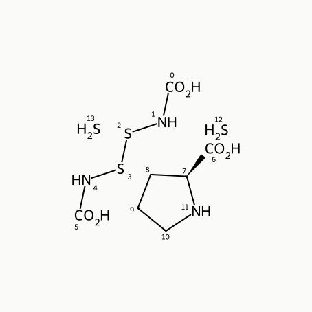 O=C(O)NSSNC(=O)O.O=C(O)[C@@H]1CCCN1.S.S